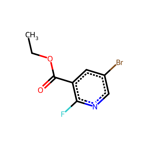 CCOC(=O)c1cc(Br)cnc1F